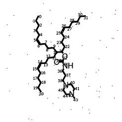 CCCCC/C=C\CCCC(CCC/C=C\CCCCC)C(CCC/C=C\CCCCC)OC(=O)NCCCN1CCN(C)CC1